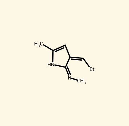 CC/C=C1/C=C(C)N/C1=N/C